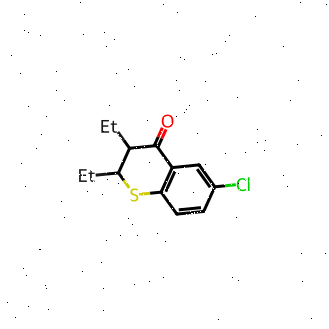 CCC1Sc2ccc(Cl)cc2C(=O)C1CC